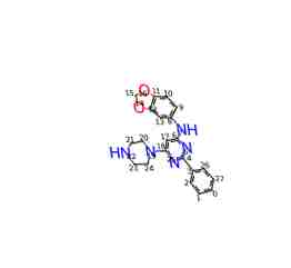 c1ccc(-c2nc(Nc3ccc4c(c3)OCO4)cc(N3CCNCC3)n2)cc1